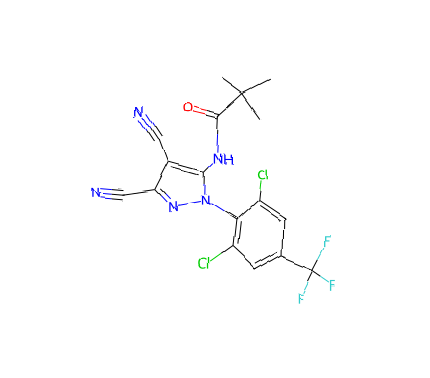 CC(C)(C)C(=O)Nc1c(C#N)c(C#N)nn1-c1c(Cl)cc(C(F)(F)F)cc1Cl